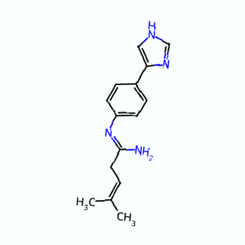 CC(C)=CC/C(N)=N/c1ccc(-c2c[nH]cn2)cc1